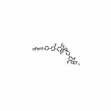 CCCCCc1ccc(-c2ccc(-c3cc(F)c(C(F)(F)Oc4ccc(-c5cc(F)c(OC(F)(F)F)c(F)c5)cc4)c(F)c3)c(F)c2)cc1